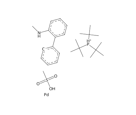 CC(C)(C)[PH+](C(C)(C)C)C(C)(C)C.CNc1ccccc1-c1[c-]cccc1.CS(=O)(=O)O.[Pd]